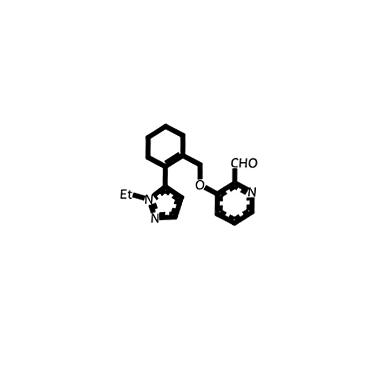 CCn1nccc1C1=C(COc2cccnc2C=O)CCCC1